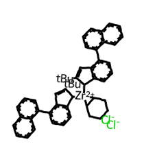 CC(C)(C)C1=Cc2c(-c3cccc4ccccc34)cccc2[CH]1[Zr+2]1([CH]2C(C(C)(C)C)=Cc3c(-c4cccc5ccccc45)cccc32)[CH]2CCCC[CH]21.[Cl-].[Cl-]